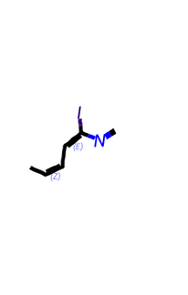 C=N/C(I)=C\C=C/C